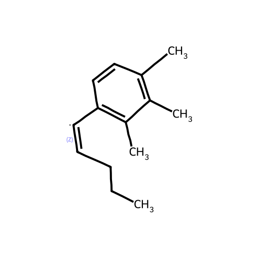 CCC/C=[C]\c1ccc(C)c(C)c1C